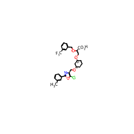 Cc1cccc(-c2nc(CO[C@H]3CCC[C@@H](OCC(OCc4cccc(C(F)(F)F)c4)C(=O)O)C3)c(Cl)o2)c1